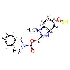 CN(Cc1ccccc1)C(=O)OCc1nc2cc(OS)ccc2n1C